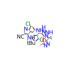 Cc1nnc(C2(N3C=C([C@@H](Nc4cc(Cl)c5ncc(C#N)c(NCC(C)(C)C)c5c4)c4ccccc4Cl)NN3)CC2)o1